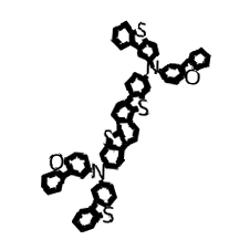 c1ccc2c(c1)oc1ccc(N(c3ccc4c(c3)sc3c4ccc4c3ccc3c5ccc(N(c6ccc7oc8ccccc8c7c6)c6ccc7sc8ccccc8c7c6)cc5sc34)c3ccc4sc5ccccc5c4c3)cc12